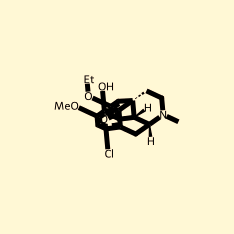 CCOC1=C[C@]23CCN(C)[C@H](Cc4c(Cl)cc(OC)c(O)c42)[C@@H]3CC1=O